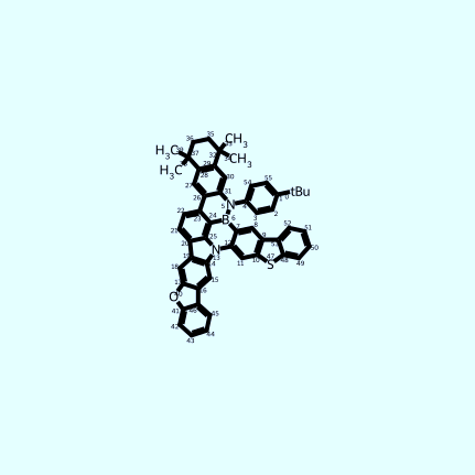 CC(C)(C)c1ccc(N2B3c4cc5c(cc4-n4c6cc7c(cc6c6ccc(c3c64)-c3cc4c(cc32)C(C)(C)CCC4(C)C)oc2ccccc27)sc2ccccc25)cc1